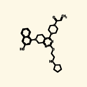 C=CC(=O)N1CCN(c2nc(OCCNC3CCCC3)nc3c2CCN(c2cc(O)cc4ccccc24)C3)CC1